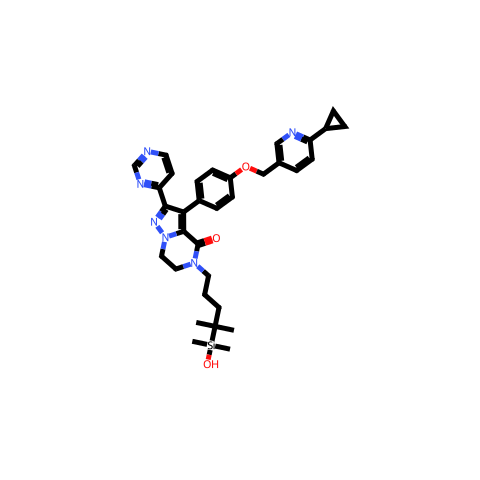 CC(C)(CCCN1CCn2nc(-c3ccncn3)c(-c3ccc(OCc4ccc(C5CC5)nc4)cc3)c2C1=O)[Si](C)(C)O